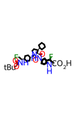 CC(C)(C)OC(=O)NC(CF)[C@H]1CC[C@H](C(=O)N2CC[C@@H](C3CCCCC3)[C@H]2C(=O)Nc2ccc3[nH]c(C(=O)O)c(F)c3c2)CC1